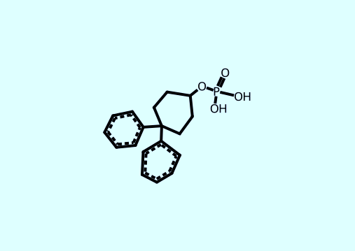 O=P(O)(O)OC1CCC(c2ccccc2)(c2ccccc2)CC1